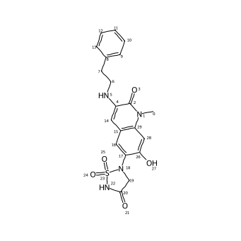 Cn1c(=O)c(NCCc2ccccc2)cc2cc(N3CC(=O)NS3(=O)=O)c(O)cc21